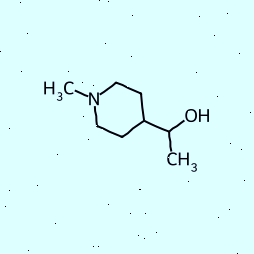 CC(O)C1CCN(C)CC1